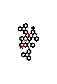 CC(C)(C)c1cc2c3c(c1)N(c1ccc4c5ccccc5c5ccccc5c4c1)c1cc4c(cc1B3c1ccccc1S2)B1c2ccccc2N(c2ccc3c5ccccc5c5ccccc5c3c2)c2cc(C(C)(C)C)cc(c21)N4c1c(-c2ccccc2)cccc1-c1ccccc1